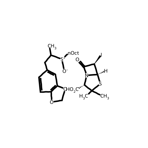 CC1(C)S[C@@H]2[C@H](I)C(=O)N2[C@H]1C(=O)O.CCCCCCCC[S+]([O-])C(C)Cc1ccc2c(c1)OCO2